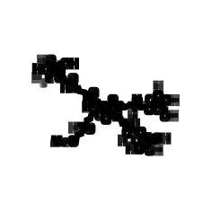 COCCCNC(=O)CCCC(=O)NC(CCC(=O)NCCCNC(=O)CCO[C@@H]1OC(CO)[C@H](O)[C@H](O)C1C)(CCC(=O)NCCCNC(=O)CCO[C@@H]1OC(CO)[C@H](O)[C@H](O)C1C)CCC(=O)NCCCNC(=O)CCO[C@@H]1OC(CO)[C@H](O)[C@H](O)C1C